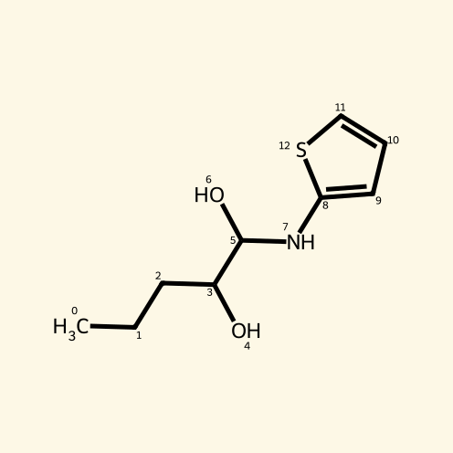 CCCC(O)C(O)Nc1cccs1